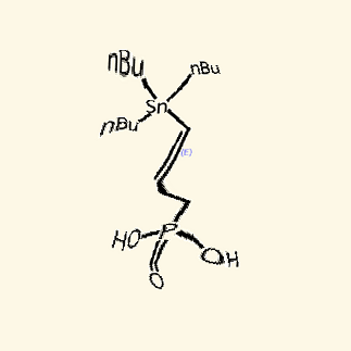 CCC[CH2][Sn](/[CH]=C/CP(=O)(O)O)([CH2]CCC)[CH2]CCC